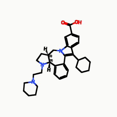 O=C(O)c1ccc2c(C3CCCCC3)c3n(c2c1)C[C@@H]1CCN(CCN2CCCCC2)[C@H]1c1ccccc1-3